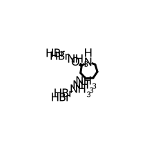 Br.Br.Br.Br.N.N.N.N.O=C1CCCCCN1